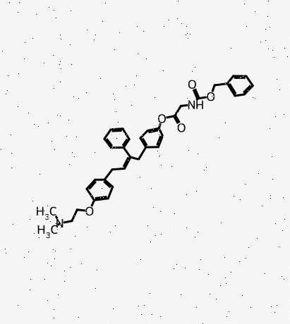 CN(C)CCOc1ccc(CC=C(Cc2ccc(OC(=O)CNC(=O)OCc3ccccc3)cc2)c2ccccc2)cc1